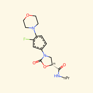 CCCNC(=O)[C@H]1CN(c2ccc(N3CCOCC3)c(F)c2)C(=O)O1